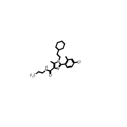 Cc1cc(Cl)ccc1-c1nc(C(=O)NCCC(F)(F)F)c(C)n1CCC1CCCCC1